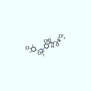 Cc1cc(C(/C=C(\F)c2ccc(C(=O)NCC(=O)N(C)CC(F)(F)F)c(C(F)(F)F)c2)C(F)(F)F)cc(C)c1Cl